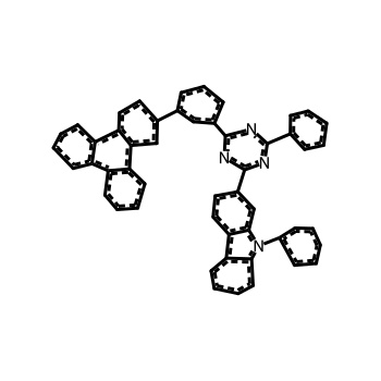 c1ccc(-c2nc(-c3cccc(-c4ccc5c6ccccc6c6ccccc6c5c4)c3)nc(-c3ccc4c5ccccc5n(-c5ccccc5)c4c3)n2)cc1